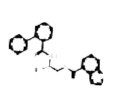 CC(C)[C@H](CNC(=O)c1cccc2occc12)NC(=O)c1ccccc1-c1ccccc1